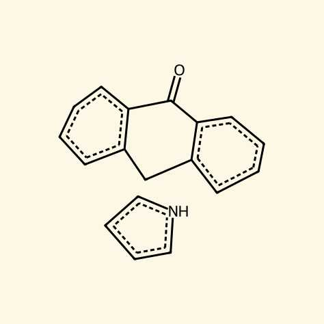 O=C1c2ccccc2Cc2ccccc21.c1cc[nH]c1